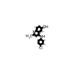 Cc1cc(Nc2ccc(Cl)cc2)c2cc(O)ccc2n1